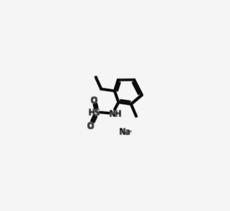 CCc1cccc(C)c1N[SH](=O)=O.[Na]